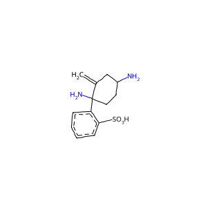 C=C1CC(N)CCC1(N)c1ccccc1S(=O)(=O)O